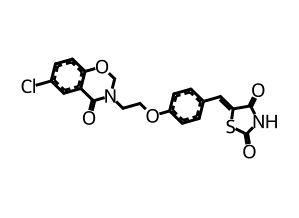 O=C1NC(=O)C(=Cc2ccc(OCCN3COc4ccc(Cl)cc4C3=O)cc2)S1